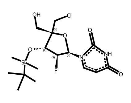 CC(C)(C)[Si](C)(C)O[C@H]1[C@H](F)[C@H](n2ccc(=O)[nH]c2=O)O[C@@]1(CO)CCl